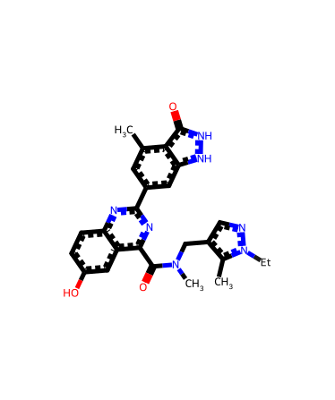 CCn1ncc(CN(C)C(=O)c2nc(-c3cc(C)c4c(=O)[nH][nH]c4c3)nc3ccc(O)cc23)c1C